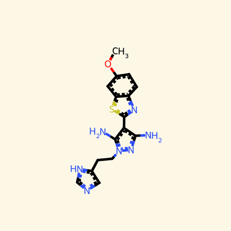 COc1ccc2nc(-c3c(N)nn(CCc4cnc[nH]4)c3N)sc2c1